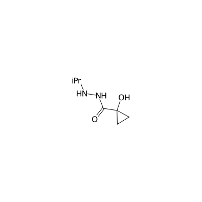 CC(C)NNC(=O)C1(O)CC1